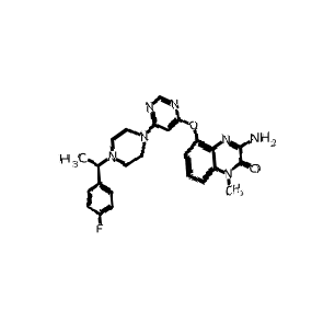 CC(c1ccc(F)cc1)N1CCN(c2cc(Oc3cccc4c3nc(N)c(=O)n4C)ncn2)CC1